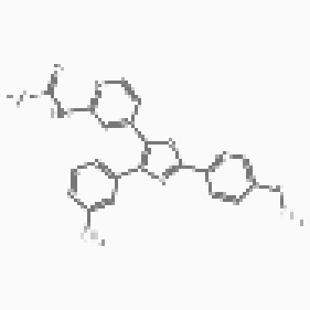 CSc1ccc(-c2nc(-c3cccc(C)c3)c(-c3ccnc(NC(C)=O)c3)s2)cc1